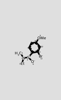 CCN(C)[S+]([O-])c1ccc(OC)cc1Br